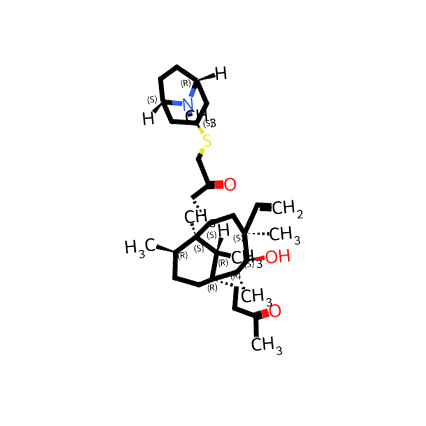 C=C[C@]1(C)C[C@@H](CC(=O)CS[C@@H]2C[C@H]3CC[C@@H](C2)N3C)[C@]2(C)[C@H](C)CC[C@@](CCC(C)=O)([C@H]2C)[C@@H](C)[C@@H]1O